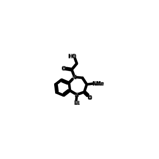 CCN1C(=O)C(NC)CN(C(=O)CO)c2ccccc21